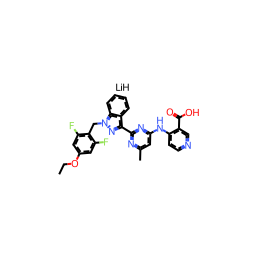 CCOc1cc(F)c(Cn2nc(-c3nc(C)cc(Nc4ccncc4C(=O)O)n3)c3ccccc32)c(F)c1.[LiH]